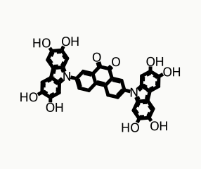 O=C1C(=O)C2=CC(n3c4cc(O)c(O)cc4c4cc(O)c(O)cc43)=CCC2=C2CC=C(n3c4cc(O)c(O)cc4c4cc(O)c(O)cc43)C=C12